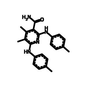 Cc1ccc(Nc2nc(Nc3ccc(C)cc3)c(C(N)=O)c(C)c2C)cc1